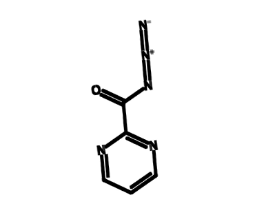 [N-]=[N+]=NC(=O)c1ncccn1